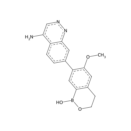 COc1cc2c(cc1-c1ccc3c(N)cnnc3c1)B(O)OCC2